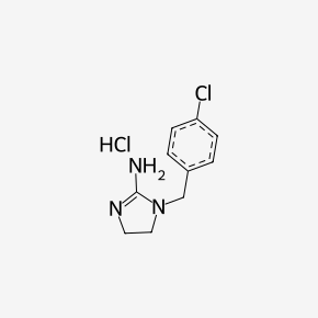 Cl.NC1=NCCN1Cc1ccc(Cl)cc1